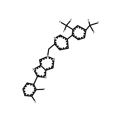 Fc1cccc(-c2nc3cnn(Cc4ccc(-c5ccc(C(F)(F)F)cc5C(F)(F)F)cn4)cc-3n2)c1F